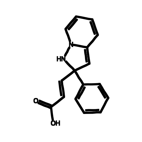 O=C(O)C=CC1(c2ccccc2)C=C2C=CC=CN2N1